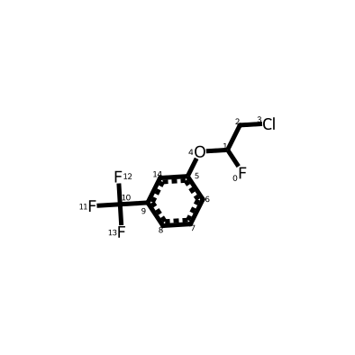 FC(CCl)Oc1cccc(C(F)(F)F)c1